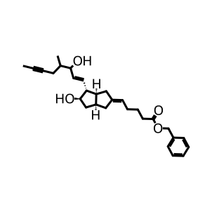 CC#CCC(C)C(O)/C=C/[C@@H]1[C@H]2C/C(=C/CCCC(=O)OCc3ccccc3)C[C@H]2C[C@H]1O